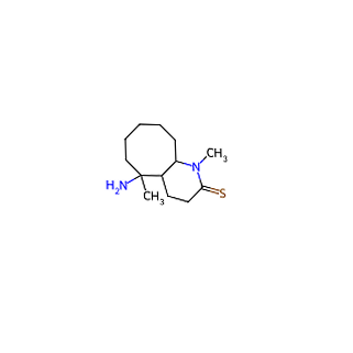 CN1C(=S)CCC2C1CCCCCC2(C)N